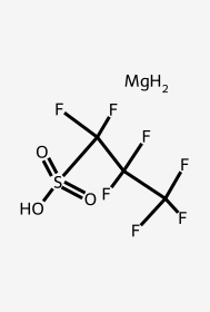 O=S(=O)(O)C(F)(F)C(F)(F)C(F)(F)F.[MgH2]